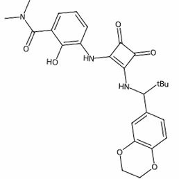 CN(C)C(=O)c1cccc(Nc2c(NC(c3ccc4c(c3)OCCO4)C(C)(C)C)c(=O)c2=O)c1O